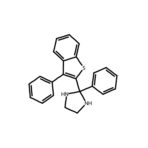 [c]1ccc(C2(c3sc4ccccc4c3-c3ccccc3)NCCN2)cc1